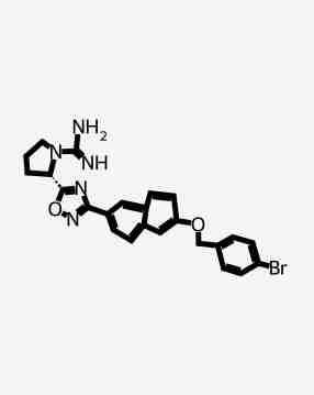 N=C(N)N1CCC[C@H]1c1nc(-c2ccc3cc(OCc4ccc(Br)cc4)ccc3c2)no1